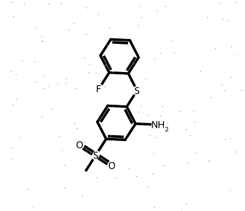 CS(=O)(=O)c1ccc(Sc2ccccc2F)c(N)c1